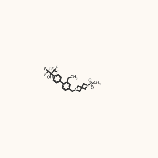 CCc1cc(CN2CC3(C2)CN(S(C)(=O)=O)C3)ccc1-c1ccc(C(O)(C(F)(F)F)C(F)(F)F)cc1